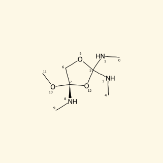 CNC1(NC)OC[C@@](NC)(OC)O1